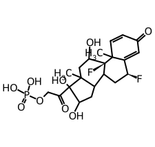 CC12CC(O)[C@@]3(F)C(C[C@H](F)C4=CC(=O)C=CC43C)C1CC(O)C2(O)C(=O)COP(=O)(O)O